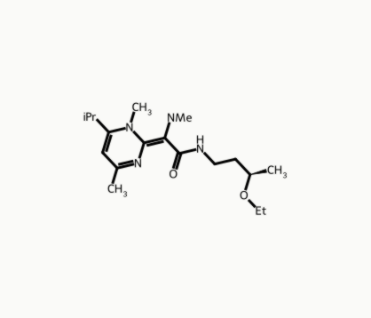 CCO[C@H](C)CCNC(=O)/C(NC)=C1\N=C(C)C=C(C(C)C)N1C